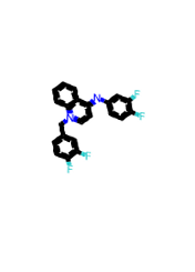 Fc1ccc(Cn2ccc(=Nc3ccc(F)c(F)c3)c3ccccc32)cc1F